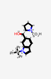 CC(C)[Si](C(C)C)(C(C)C)n1ccc2ccc(C(O)[C@@H]3CCCN3C(=O)O)cc21